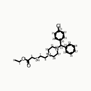 CCOC(=O)CSCCN1CCN(C(c2ccccc2)c2ccc(Cl)cc2)CC1